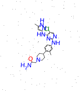 Cc1cc(Nc2nc(Nc3ccc(C4CCN(CC(N)=O)CC4)c(C)c3)ncc2Cl)n[nH]1